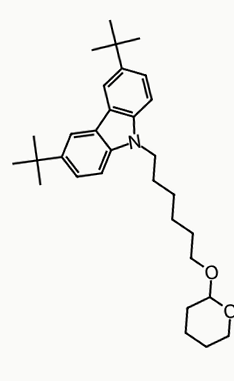 CC(C)(C)c1ccc2c(c1)c1cc(C(C)(C)C)ccc1n2CCCCCCOC1CCCCO1